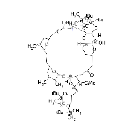 C=C1CC2CCC(O)/C=C/C(O[Si](C)(C)C(C)(C)C)C3O[C@H]4CCC(CC(=O)CC5[C@H](CC6OC(CCC1O2)CC(C)C6=C)O[C@H](CC(CO[Si](C)(C)C(C)(C)C)O[Si](C)(C)C(C)(C)C)[C@@H]5OC)OC4[C@H](O)C3O[Si](C)(C)C(C)(C)C